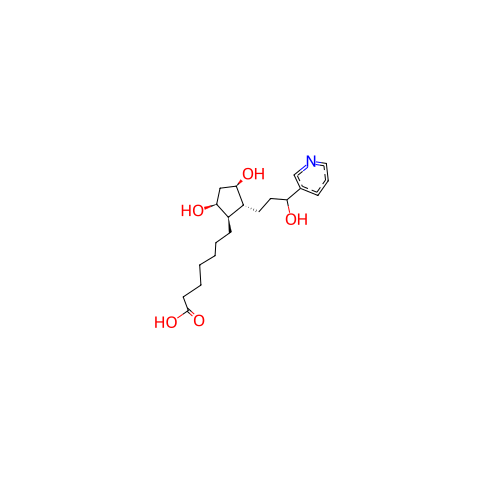 O=C(O)CCCCCC[C@@H]1[C@@H](CCC(O)c2cccnc2)[C@H](O)C[C@@H]1O